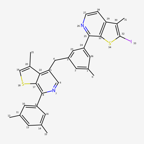 Cc1cc(Cc2cnc(-c3cc(C)cc(C)c3)c3scc(C)c23)cc(-c2nccc3c(C)c(I)sc23)c1